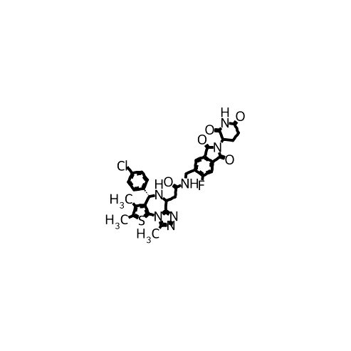 Cc1sc2c(c1C)[C@H](c1ccc(Cl)cc1)NC(CC(=O)NCc1cc3c(cc1F)C(=O)N(C1CCC(=O)NC1=O)C3=O)c1nnc(C)n1-2